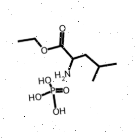 CCOC(=O)C(N)CC(C)C.O=P(O)(O)O